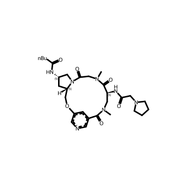 CCCCC(=O)N[C@H]1C[C@H]2COc3cncc(c3)C(=O)N(C)C[C@H](NC(=O)CN3CCCC3)C(=O)N(C)CC(=O)N2C1